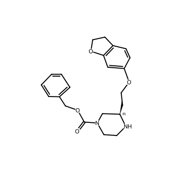 O=C(OCc1ccccc1)N1CCN[C@H](CCOc2ccc3c(c2)OCC3)C1